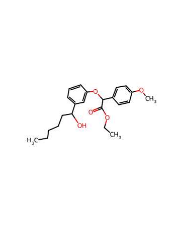 CCCCCC(O)c1cccc(OC(C(=O)OCC)c2ccc(OC)cc2)c1